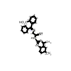 Cc1ccc2nc(NC(=N)C/N=C(\c3ccccc3)c3ccccc3C(=O)O)nc(C)c2c1